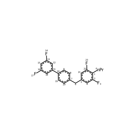 CCCc1c(F)cc(Cc2ccc(-c3cc(F)cc(F)c3)cc2)cc1F